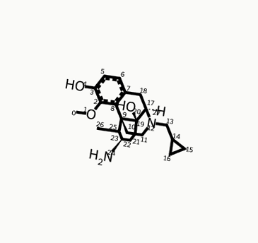 COc1c(O)ccc2c1[C@]13CCN(CC4CC4)[C@H](C2)[C@]1(O)CC[C@@H](N)C3C